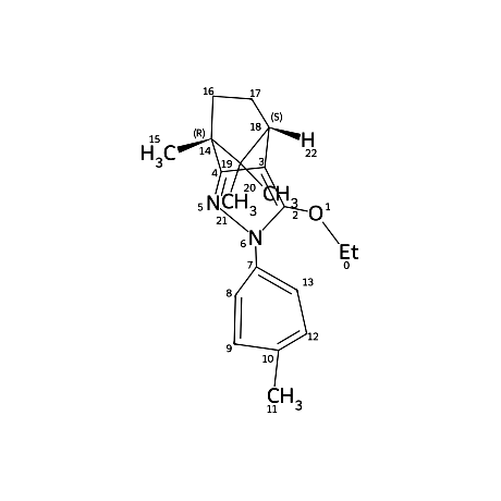 CCOc1c2c(nn1-c1ccc(C)cc1)[C@]1(C)CC[C@H]2C1(C)C